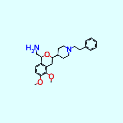 COc1ccc2c(c1OC)C[C@H](C1CCN(CCc3ccccc3)CC1)O[C@@H]2CN